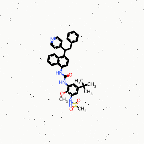 COc1c(NC(=O)Nc2ccc(C(Cc3ccccc3)c3ccncc3)c3ccccc23)cc(C(C)(C)C)cc1NS(C)(=O)=O